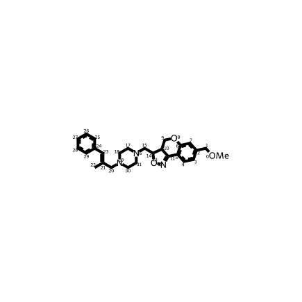 COCc1ccc2c(c1)OCC1C2=NOC1CN1CCN(CC(C)=Cc2ccccc2)CC1